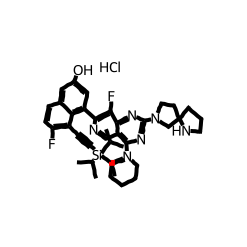 CC(C)[Si](C#Cc1c(F)ccc2cc(O)cc(-c3ncc4c(N5CCCCC5)nc(N5CCC6(CCCN6)C5)nc4c3F)c12)(C(C)C)C(C)C.Cl